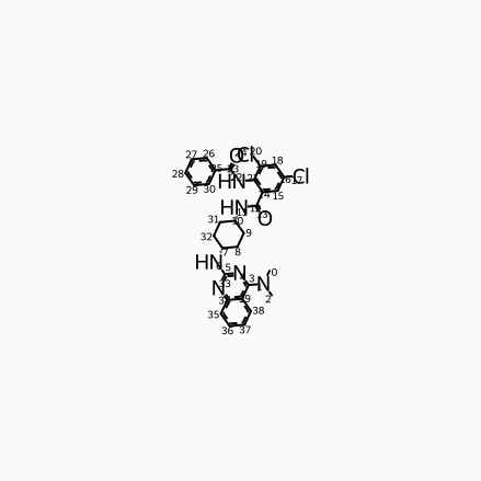 CN(C)c1nc(N[C@H]2CC[C@@H](NC(=O)c3cc(Cl)cc(Cl)c3NC(=O)c3ccccc3)CC2)nc2ccccc12